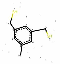 Cc1cc(CS)cc(CS)c1